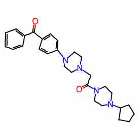 O=C(c1ccccc1)c1ccc(N2CCN(CC(=O)N3CCN(C4CCCC4)CC3)CC2)cc1